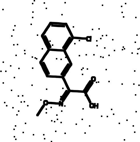 CO/N=C(/C(=O)O)c1ccc2cccc(Cl)c2c1